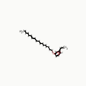 CCCCCCCCCCCCCCCCCCOc1cc2cc(CC)c1o2